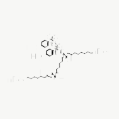 CCCCCCCCCCCCCCCCCC[N+](C)(C)CCCCCC[N+](C)(C)CCCCCCCCCCCCCCCCCC.Cc1ccc(S(=O)(=O)[O-])cc1.Cc1ccc(S(=O)(=O)[O-])cc1